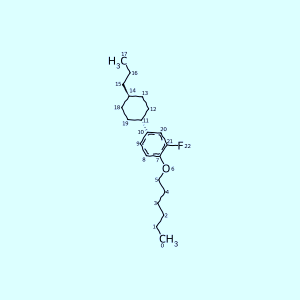 CCCCCCOc1ccc([C@H]2CC[C@H](CCC)CC2)cc1F